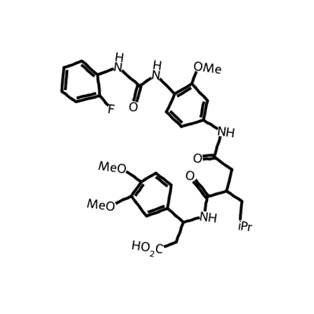 COc1cc(NC(=O)CC(CC(C)C)C(=O)NC(CC(=O)O)c2ccc(OC)c(OC)c2)ccc1NC(=O)Nc1ccccc1F